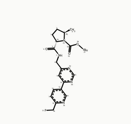 C[C@@H]1CC[C@@H](C(=O)NCc2cc(-c3ccc(CF)nc3)ncn2)N1C(=O)OC(C)(C)C